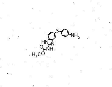 COC(=O)Nc1nc2cc(Sc3ccc(N)cc3)ccc2[nH]1